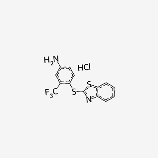 Cl.Nc1ccc(Sc2nc3ccccc3s2)c(C(F)(F)F)c1